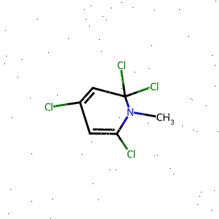 CN1C(Cl)=CC(Cl)=CC1(Cl)Cl